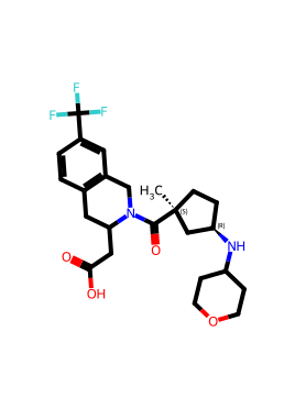 C[C@]1(C(=O)N2Cc3cc(C(F)(F)F)ccc3CC2CC(=O)O)CC[C@@H](NC2CCOCC2)C1